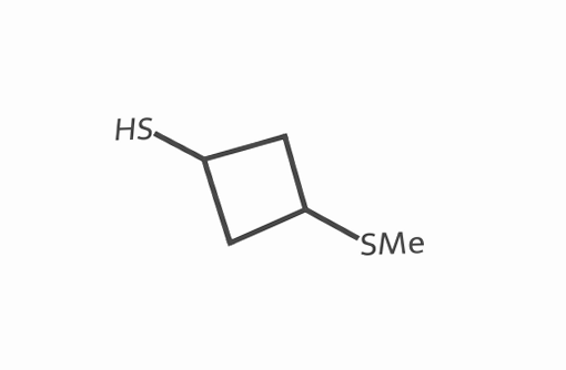 CSC1CC(S)C1